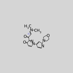 CN(C)/C=C/C(=O)c1nn(-c2ccnc(N3CCOCC3)c2)ccc1=O